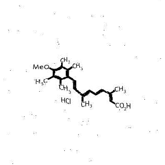 COc1c(C)c(C)c(C=CC(C)=CC=CC(C)=CC(=O)O)c(C)c1C.Cl